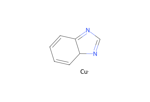 C1=CC2=NC=NC2C=C1.[Cu]